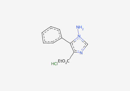 CCOC(=O)c1ncn(N)c1-c1ccccc1.Cl